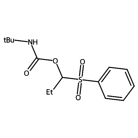 CCC(OC(=O)NC(C)(C)C)S(=O)(=O)c1ccccc1